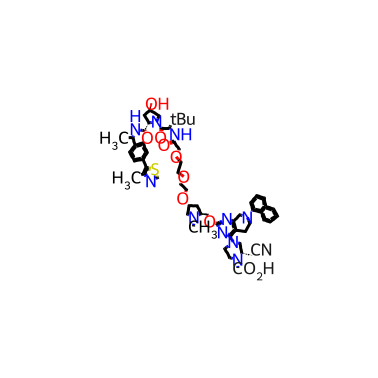 Cc1ncsc1-c1ccc(C(C)NC(=O)[C@@H]2C[C@@H](O)CN2C(=O)C(NC(=O)COCCOCCO[C@@H]2C[C@@H](COc3nc4c(c(N5CCN(C(=O)O)[C@@H](CC#N)C5)n3)CCN(c3cccc5ccccc35)C4)N(C)C2)C(C)(C)C)cc1